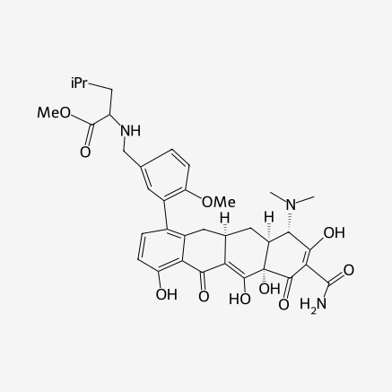 COC(=O)C(CC(C)C)NCc1ccc(OC)c(-c2ccc(O)c3c2C[C@H]2C[C@H]4[C@H](N(C)C)C(O)=C(C(N)=O)C(=O)[C@@]4(O)C(O)=C2C3=O)c1